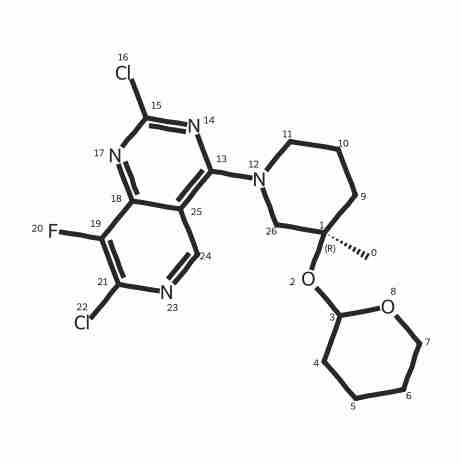 C[C@@]1(OC2CCCCO2)CCCN(c2nc(Cl)nc3c(F)c(Cl)ncc23)C1